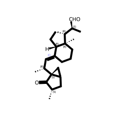 C[C@H](C=O)[C@H]1CC[C@H]2/C(=C/[C@@H](C)[C@]34CC3C[C@H](C)C4=O)CCC[C@]12C